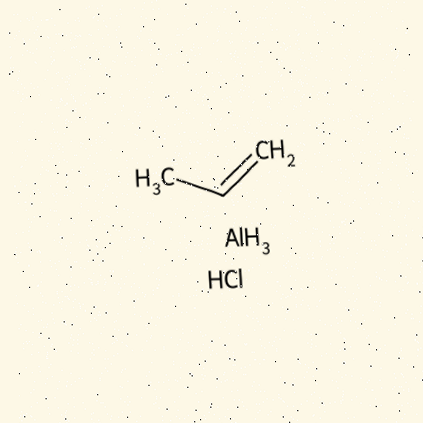 C=CC.Cl.[AlH3]